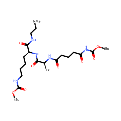 CNCCNC(=O)[C@H](CCCCNC(=O)OC(C)(C)C)NC(=O)[C@@H](NC(=O)CCCC(=O)NC(=O)OC(C)(C)C)C(C)C